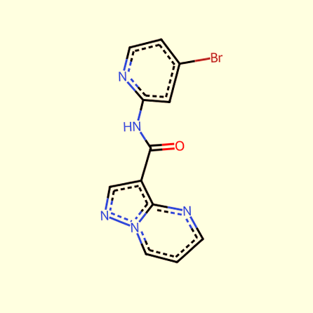 O=C(Nc1cc(Br)ccn1)c1cnn2cccnc12